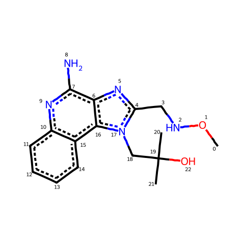 CONCc1nc2c(N)nc3ccccc3c2n1CC(C)(C)O